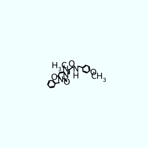 COc1ccc(CNC(=O)c2cn3c(=O)n(Cc4ccccc4)c(=O)cc3n2C)cc1